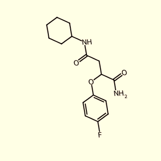 NC(=O)C(CC(=O)NC1CCCCC1)Oc1ccc(F)cc1